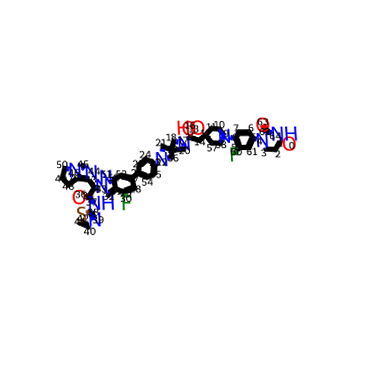 O=C1CCN(c2ccc(N3CCC(O)(CC(=O)N4CC5(C4)CN(c4ccc(-c6cc(F)c7cn(C(C(=O)Nc8nccs8)c8ncn9c8CCC9)nc7c6)cc4)C5)CC3)c(F)c2)C(=O)N1